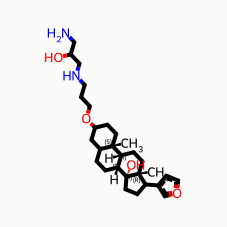 C[C@]12CCC(OCCCNCC(O)CN)CC1CC[C@@H]1[C@H]2CC[C@]2(C)C(c3ccoc3)CC[C@@]12O